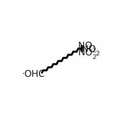 O=[C]CCCCCCCCCCCCCCCC([N+](=O)[O-])([N+](=O)[O-])[N+](=O)[O-]